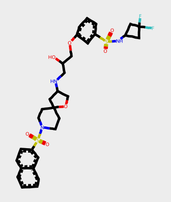 O=S(=O)(NC1CC(F)(F)C1)c1cccc(OCC(O)CNC2COC3(CCN(S(=O)(=O)c4ccc5ccccc5c4)CC3)C2)c1